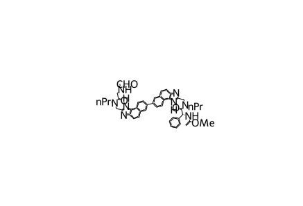 C=C(N[C@@H](C(=O)N(CCC)Cc1nc2ccc3cc(-c4ccc5c(ccc6nc(CN(CCC)C(=O)CNC=O)[nH]c65)c4)ccc3c2[nH]1)c1ccccc1)OC